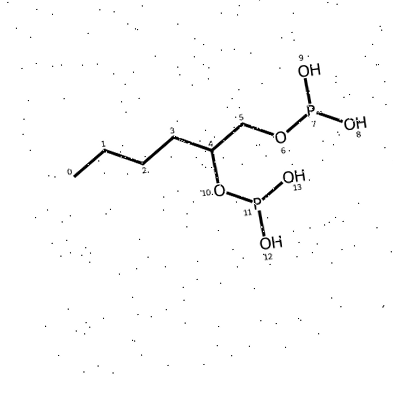 CCCCC(COP(O)O)OP(O)O